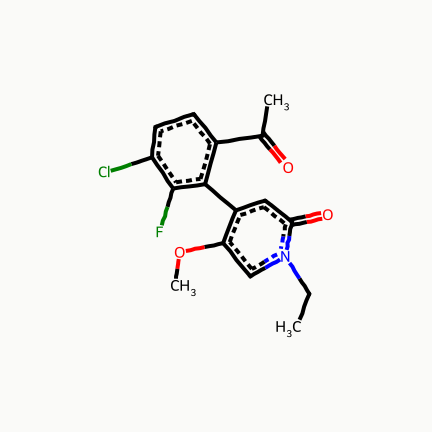 CCn1cc(OC)c(-c2c(C(C)=O)ccc(Cl)c2F)cc1=O